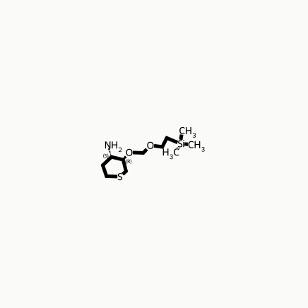 C[Si](C)(C)CCOCO[C@H]1CSCC[C@@H]1N